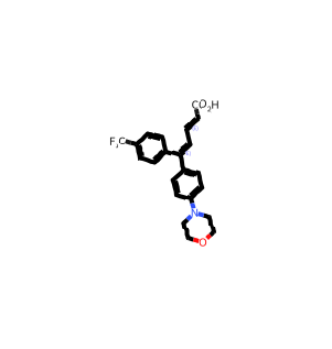 O=C(O)/C=C/C=C(/c1ccc(N2CCOCC2)cc1)c1ccc(C(F)(F)F)cc1